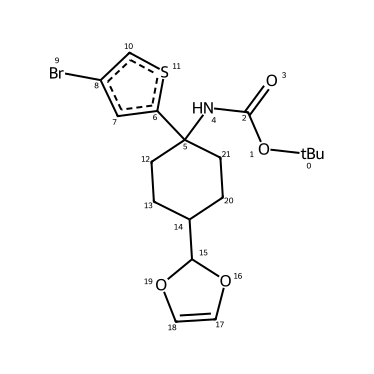 CC(C)(C)OC(=O)NC1(c2cc(Br)cs2)CCC(C2OC=CO2)CC1